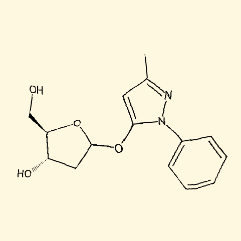 Cc1cc(OC2C[C@H](O)[C@@H](CO)O2)n(-c2ccccc2)n1